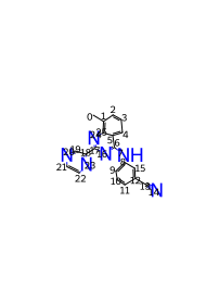 Cc1cccc2c(Nc3cccc(C#N)c3)nc(-c3cnccn3)nc12